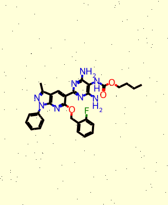 CCCCOC(=O)Nc1c(N)nc(-c2cc3c(C)nn(-c4ccccc4)c3nc2OCc2ccccc2F)nc1N